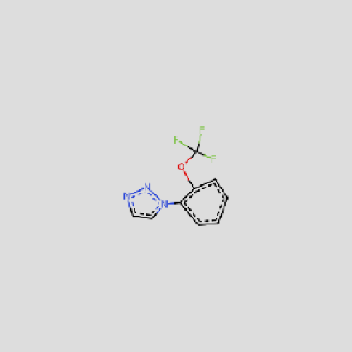 FC(F)(F)Oc1ccccc1-n1ccnn1